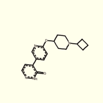 O=c1[nH]nccc1-c1ccc(OC2CCN(C3CCC3)CC2)nc1